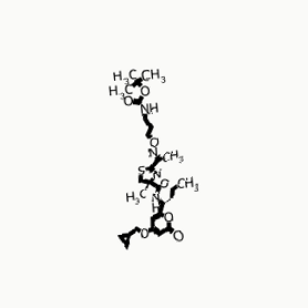 CCC[C@@H](NC(=O)[C@]1(C)CSC(/C(C)=N/OCCCNC(=O)OC(C)(C)C)=N1)c1cc(OCC2CC2)cc(=O)o1